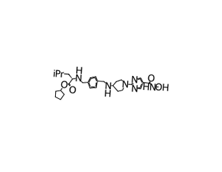 CC(C)C[C@@H](NCc1ccc(CNC2CCN(c3ncc(C(=O)NO)cn3)CC2)cc1)C(=O)OC1CCCC1